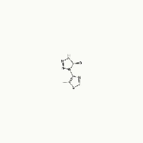 Cc1scnc1-n1nn[nH]c1=O